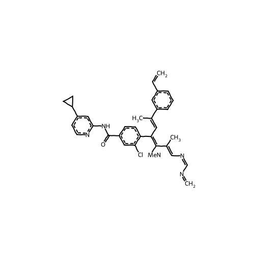 C=Cc1cccc(/C(C)=C/C(=C(NC)\C(C)=C\N=C/N=C)c2ccc(C(=O)Nc3cc(C4CC4)ccn3)cc2Cl)c1